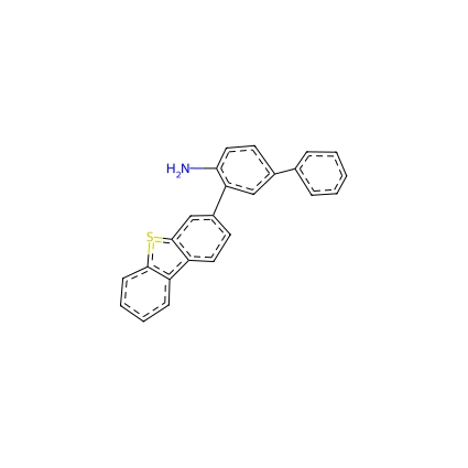 Nc1ccc(-c2ccccc2)cc1-c1ccc2c(c1)sc1ccccc12